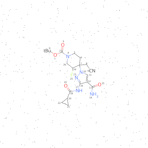 CC(C)(C)OC(=O)N1CCC(CC#N)(n2cc(C(N)=O)c(NC(=O)C3CC3)n2)C(F)C1